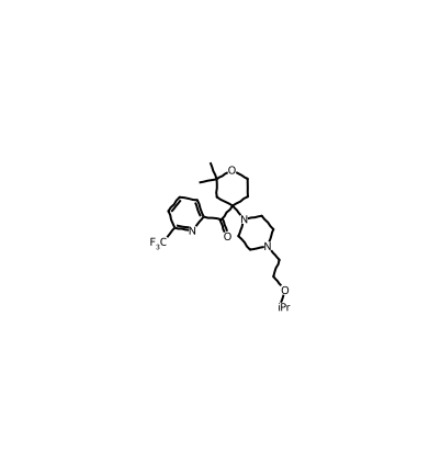 CC(C)OCCN1CCN(C2(C(=O)c3cccc(C(F)(F)F)n3)CCOC(C)(C)C2)CC1